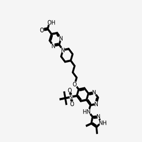 Cc1[nH]nc(Nc2ncnc3cc(OCCCC4CCN(c5ncc(C(=O)O)cn5)CC4)c(S(=O)(=O)C(C)(C)C)cc23)c1C